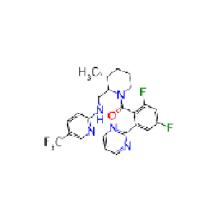 C[C@@H]1CCCN(C(=O)c2c(F)cc(F)cc2-c2ncccn2)C1CNc1ccc(C(F)(F)F)cn1